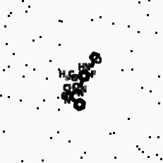 COc1cc(NCC2CCCO2)c(F)cc1-c1nnc(-c2c(-c3ccccc3)noc2C)o1